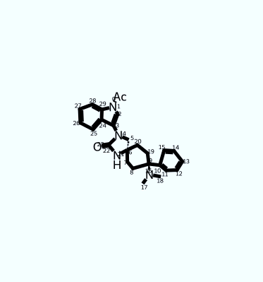 CC(=O)n1cc(N2C[C@]3(CC[C@](c4ccccc4)(N(C)C)CC3)NC2=O)c2ccccc21